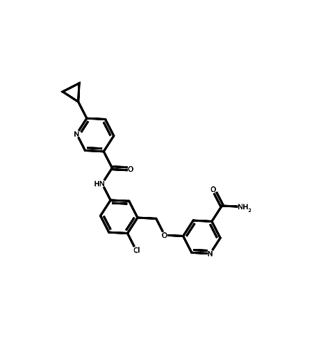 NC(=O)c1cncc(OCc2cc(NC(=O)c3ccc(C4CC4)nc3)ccc2Cl)c1